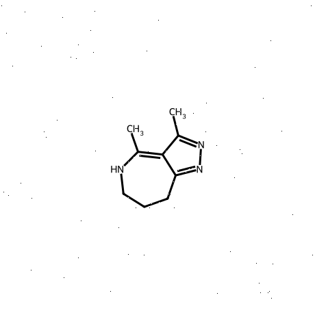 CC1=NN=C2CCCNC(C)=C12